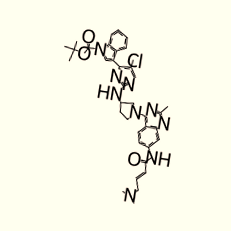 Cc1nc(N2CCC(Nc3ncc(Cl)c(-c4cn(C(=O)OC(C)(C)C)c5ccccc45)n3)C2)c2ccc(NC(=O)C=CCN(C)C)cc2n1